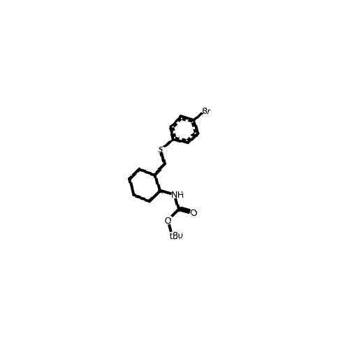 CC(C)(C)OC(=O)NC1CCCCC1CSc1ccc(Br)cc1